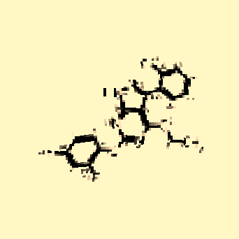 CCOc1nc(Oc2ccc(F)cc2F)nc2[nH]nc(-c3ccccc3Cl)c12